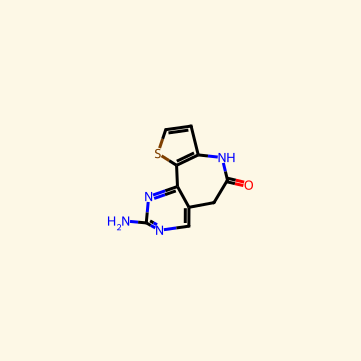 Nc1ncc2c(n1)-c1sccc1NC(=O)C2